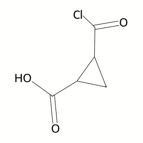 O=C(O)C1CC1C(=O)Cl